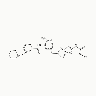 Cc1ccc(Oc2ccc3nc(NC(=O)OC(C)(C)C)cn3n2)cc1NC(=O)c1cccc(CN2CCCCC2)c1